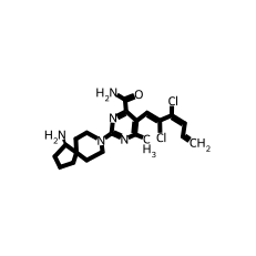 C=C/C=C(Cl)\C(Cl)=C\c1c(C)nc(N2CCC3(CCC[C@H]3N)CC2)nc1C(N)=O